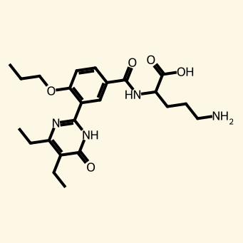 CCCOc1ccc(C(=O)NC(CCCN)C(=O)O)cc1-c1nc(CC)c(CC)c(=O)[nH]1